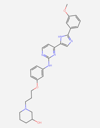 COc1cccc(-c2ncc(-c3ccnc(Nc4cccc(OCCCN5CCCC(O)C5)c4)n3)[nH]2)c1